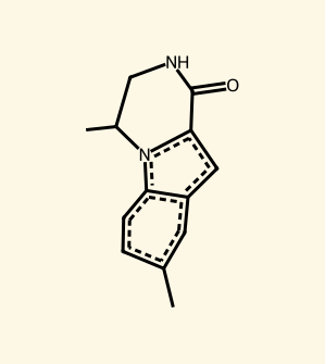 Cc1ccc2c(c1)cc1n2C(C)CNC1=O